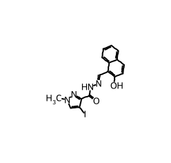 Cn1cc(I)c(C(=O)NN=Cc2c(O)ccc3ccccc23)n1